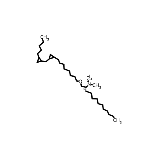 CCCCCCCCCCC[C@@H](COCCCCCCCCC1CC1CC1CC1CCCCC)N(C)C